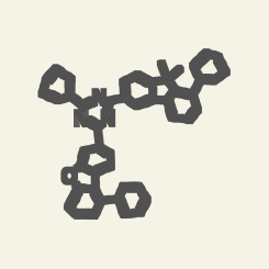 CC1(C)c2ccc(-c3nc(-c4ccccc4)nc(-c4ccc5c(c4)oc4cccc(-c6ccccc6)c45)n3)cc2-c2cccc(-c3ccccc3)c21